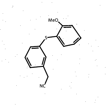 COc1ccccc1Sc1cccc(CC#N)c1